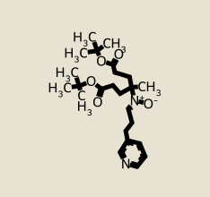 CC(C)(C)OC(=O)CCC(C)(CCC(=O)OC(C)(C)C)/[N+]([O-])=C/CCc1cccnc1